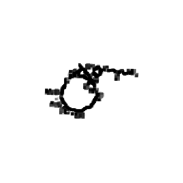 CO[C@H]1/C=C/O[C@@]2(C)Oc3c(C)c(O)c4c(=O)c(c5oc6cc(OCCNCCN)ccc6nc-5c4c3C2=O)NC(=O)/C(C)=C\C=C\[C@H](C)[C@H](O)[C@@H](C)[C@@H](O)[C@@H](C)[C@H](OC(C)=O)[C@@H]1C